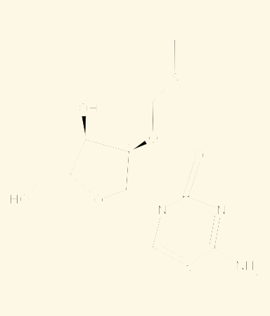 CSCO[C@@H]1[C@H](O)[C@@H](CO)O[C@H]1n1ccc(N)nc1=O